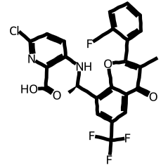 Cc1c(-c2ccccc2F)oc2c([C@@H](C)Nc3ccc(Cl)nc3C(=O)O)cc(C(F)(F)F)cc2c1=O